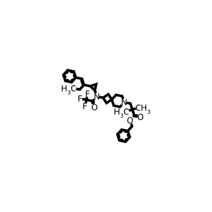 CC/C(=C\c1ccccc1)C1CC1N(C(=O)C(F)(F)F)C1CC2(CCN(CC(C)(C)C(=O)OCc3ccccc3)CC2)C1